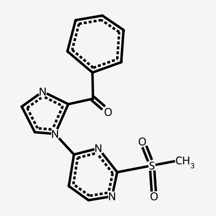 CS(=O)(=O)c1nccc(-n2ccnc2C(=O)c2ccccc2)n1